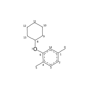 Cc1ccc(C)c(OC2CCCCC2)c1